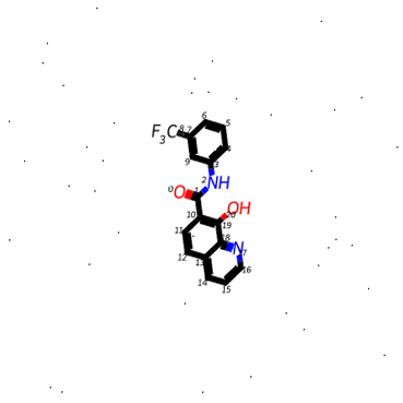 O=C(Nc1cccc(C(F)(F)F)c1)c1ccc2cccnc2c1O